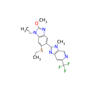 CCSc1cc2c(cc1-c1nc3cc(C(F)(F)F)ncc3n1C)nc(OC)n2CC